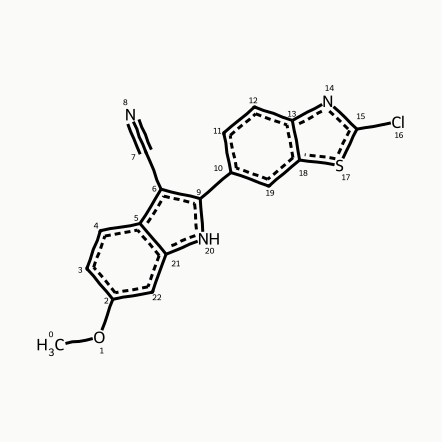 COc1ccc2c(C#N)c(-c3ccc4nc(Cl)sc4c3)[nH]c2c1